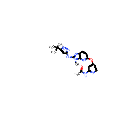 CC(=O)Nc1cc(Oc2ccc3nc(Nc4cc(C(C)(C)C)[nH]n4)n(C)c3n2)ccn1